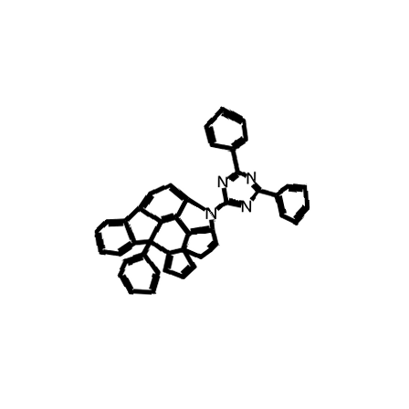 C1=CC23CC=Cc4c2c2c5c(ccc2n4-c2nc(-c4ccccc4)nc(-c4ccccc4)n2)-c2ccccc2C5(c2ccccc2)C3=C1